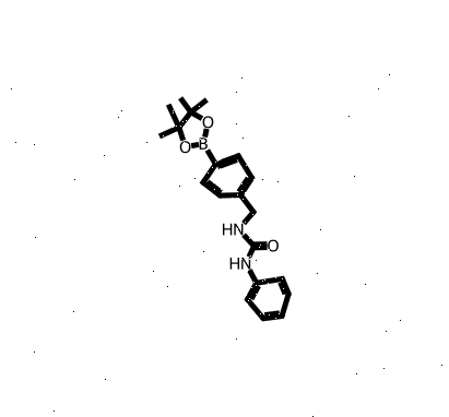 CC1(C)OB(c2ccc(CNC(=O)Nc3ccccc3)cc2)OC1(C)C